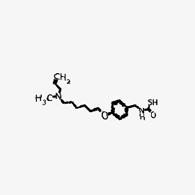 C=CCN(C)CCCCCCOc1ccc(CNC(=O)S)cc1